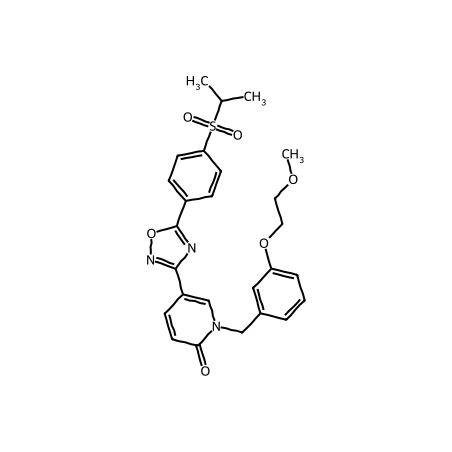 COCCOc1cccc(Cn2cc(-c3noc(-c4ccc(S(=O)(=O)C(C)C)cc4)n3)ccc2=O)c1